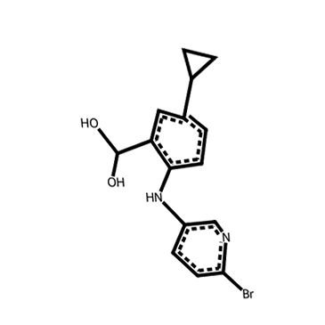 OC(O)c1cc(C2CC2)ccc1Nc1ccc(Br)nc1